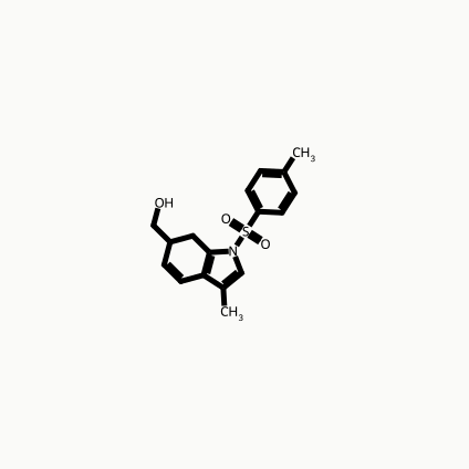 Cc1ccc(S(=O)(=O)n2cc(C)c3c2CC(CO)C=C3)cc1